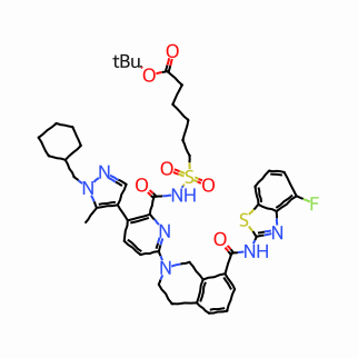 Cc1c(-c2ccc(N3CCc4cccc(C(=O)Nc5nc6c(F)cccc6s5)c4C3)nc2C(=O)NS(=O)(=O)CCCCCC(=O)OC(C)(C)C)cnn1CC1CCCCC1